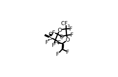 C=S(=O)(F)C(F)(F)C(F)(F)OC(F)(C(F)(F)F)C(F)(F)OC(F)=C(F)F